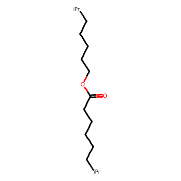 CC(C)CCCCCOC(=O)CCCCCC(C)C